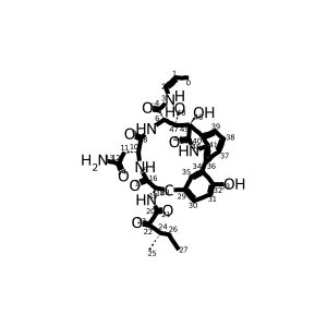 C/C=C\NC(=O)[C@H]1NC(=O)[C@@H](CC(N)=O)NC(=O)[C@@H](NC(=O)C(=O)[C@@H](C)CC)Cc2ccc(O)c(c2)-c2cccc3c2NC(=O)[C@@]3(O)[C@H]1O